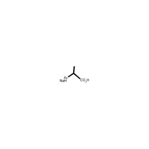 CC(=O)C(C)C(=O)O.[NaH]